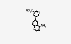 Nc1ncnc2ccc(-c3cncc(C(=O)O)c3)cc12